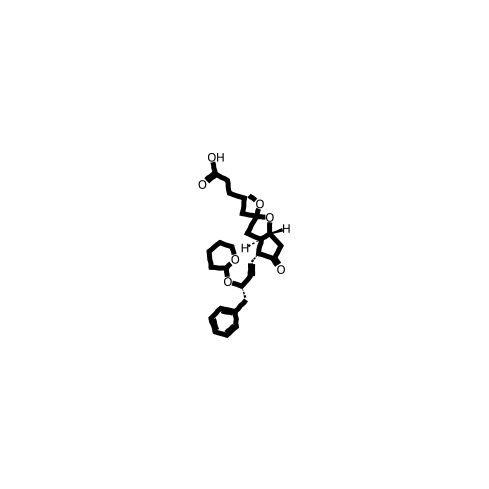 COC1(CCCCC(=O)O)C[C@H]2[C@@H](CC(=O)[C@@H]2/C=C/[C@H](Cc2ccccc2)OC2CCCCO2)O1